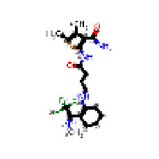 C/N=C(\C1=C(NCCCC(=O)Nc2sc(C)c(C)c2C(N)=O)CCCC1)C(F)(F)F